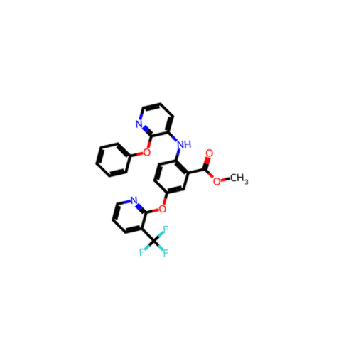 COC(=O)c1cc(Oc2ncccc2C(F)(F)F)ccc1Nc1cccnc1Oc1ccccc1